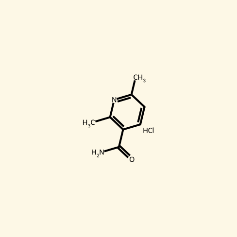 Cc1ccc(C(N)=O)c(C)n1.Cl